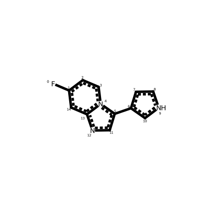 Fc1ccn2c(-c3cc[nH]c3)cnc2c1